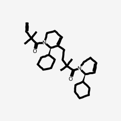 C=CC(C)(C)C(=O)N1CCC=C(CCC(C)(C)C(=O)N2CCC=C[C@H]2C2CCCCC2)[C@H]1C1CCCCC1